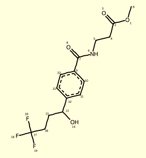 COC(=O)CCNC(=O)c1ccc(C(O)CCC(F)(F)F)cc1